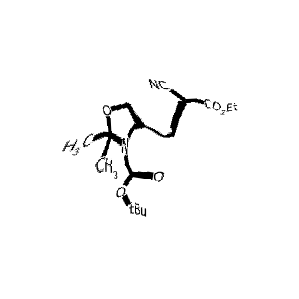 CCOC(=O)C(C#N)=C[C@@H]1COC(C)(C)N1C(=O)OC(C)(C)C